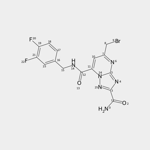 NC(=O)c1nc2nc(CBr)cc(C(=O)NCc3ccc(F)c(F)c3)n2n1